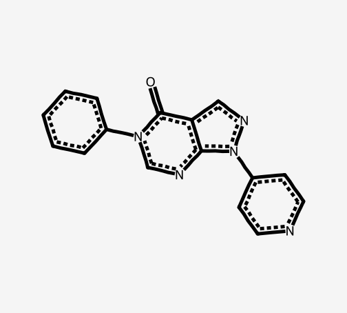 O=c1c2cnn(-c3ccncc3)c2ncn1-c1ccccc1